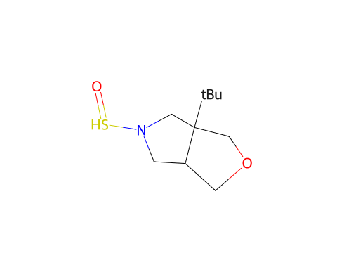 CC(C)(C)C12COCC1CN([SH]=O)C2